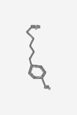 CCOC(=O)CCCCCc1ccc(C)cc1